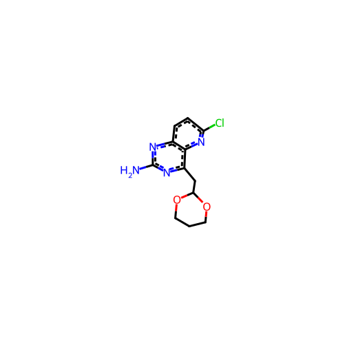 Nc1nc(CC2OCCCO2)c2nc(Cl)ccc2n1